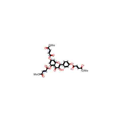 COC(=O)/C=C/C(=O)Oc1ccc(-c2oc3cc(OC(=O)/C=C/C(=O)OC)cc(OC(=O)/C=C/C(=O)OC)c3c(=O)c2O)cc1